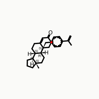 C=C(C)c1ccc(C[C@]23CCC(=O)C=C2CC[C@@H]2[C@H]3CC[C@]3(C)CCC[C@@H]23)cc1